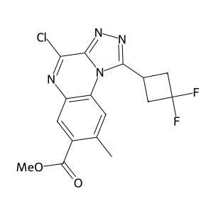 COC(=O)c1cc2nc(Cl)c3nnc(C4CC(F)(F)C4)n3c2cc1C